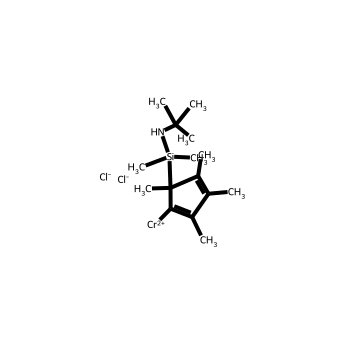 CC1=C(C)C(C)([Si](C)(C)NC(C)(C)C)[C]([Cr+2])=C1C.[Cl-].[Cl-]